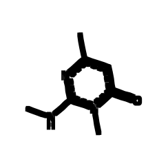 CNc1nc(C)cc(=O)n1C